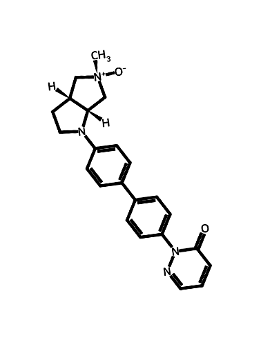 C[N@+]1([O-])C[C@H]2CCN(c3ccc(-c4ccc(-n5ncccc5=O)cc4)cc3)[C@H]2C1